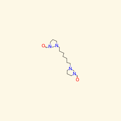 O=CN1CCCN(CCCCCCCN2CCCN(C=O)C2)C1